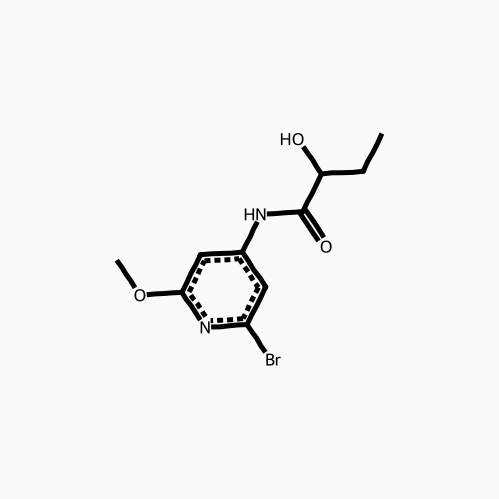 CCC(O)C(=O)Nc1cc(Br)nc(OC)c1